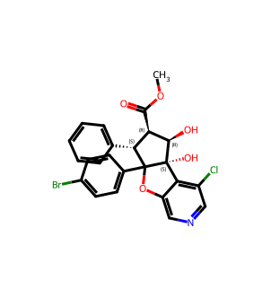 COC(=O)[C@@H]1[C@@H](c2ccccc2)C2(c3ccc(Br)cc3)Oc3cncc(Cl)c3[C@]2(O)[C@@H]1O